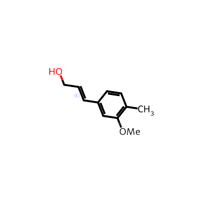 COc1cc(/C=C/CO)ccc1C